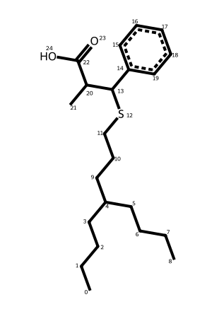 CCCCC(CCCC)CCCSC(c1ccccc1)C(C)C(=O)O